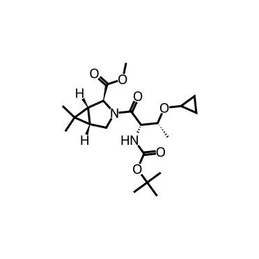 COC(=O)[C@@H]1[C@@H]2[C@H](CN1C(=O)[C@@H](NC(=O)OC(C)(C)C)[C@@H](C)OC1CC1)C2(C)C